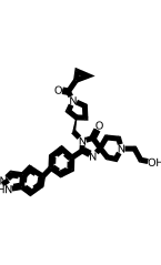 O=C(C1CC1)N1CC[C@@H](CN2C(=O)C3(CCN(CCO)CC3)N=C2c2ccc(-c3ccc4[nH]ncc4c3)cc2)C1